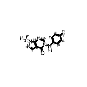 Cn1ncc2c(=O)n(Nc3ccc(F)cc3)cnc21